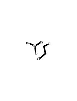 ClCCCl.[Br][In]([Br])[Br]